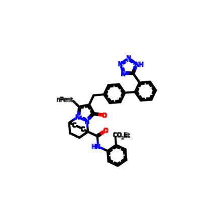 CCCCCc1c(Cc2ccc(-c3ccccc3-c3nnn[nH]3)cc2)c(=O)n2n1C1CCC2(C(=O)Nc2ccccc2C(=O)OCC)CC1